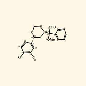 CO[C@@](C=O)(c1ccccc1)N1CCO[C@@H](c2ccc(Cl)c(Cl)c2)C1